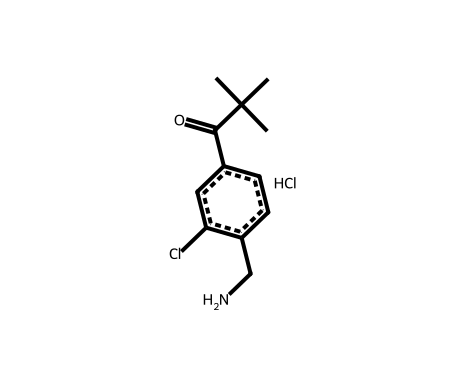 CC(C)(C)C(=O)c1ccc(CN)c(Cl)c1.Cl